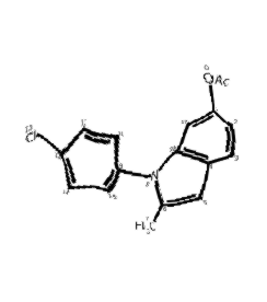 CC(=O)Oc1ccc2cc(C)n(-c3ccc(Cl)cc3)c2c1